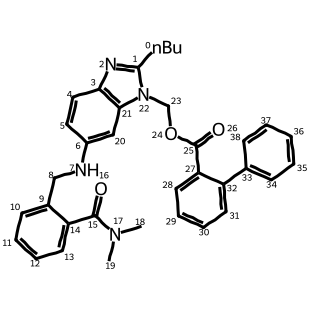 CCCCc1nc2ccc(NCc3ccccc3C(=O)N(C)C)cc2n1COC(=O)c1ccccc1-c1ccccc1